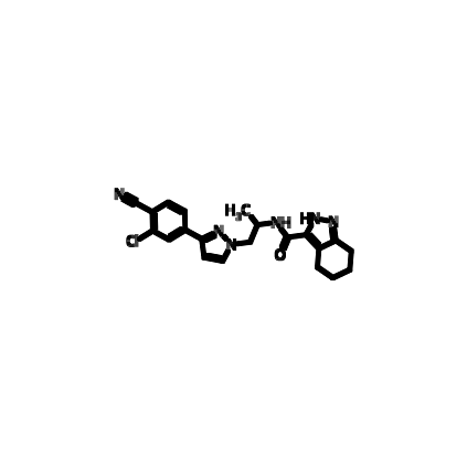 CC(Cn1ccc(-c2ccc(C#N)c(Cl)c2)n1)NC(=O)c1[nH]nc2c1CCCC2